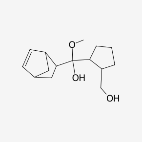 COC(O)(C1CC2C=CC1C2)C1CCCC1CO